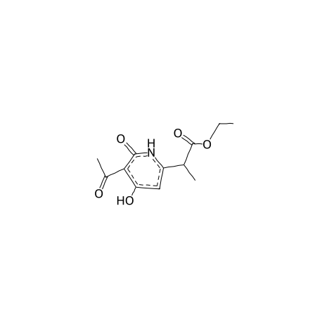 CCOC(=O)C(C)c1cc(O)c(C(C)=O)c(=O)[nH]1